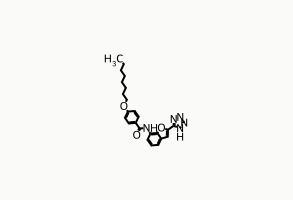 CCCCCCCCOc1ccc(C(=O)Nc2cccc3cc(-c4nnn[nH]4)oc23)cc1